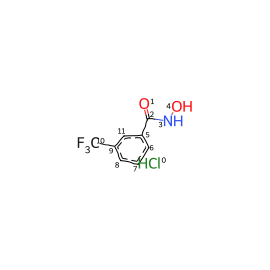 Cl.O=C(NO)c1cccc(C(F)(F)F)c1